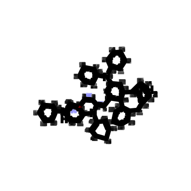 CC(/C=C\C(=C/c1cc(N(c2ccccc2)c2ccccc2)cc2c1-c1ccccc1Cc1cccc-2c1N)N(C1=CCCC=C1)c1ccccc1)=C\Nc1ccccc1